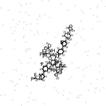 COC(=O)N[C@H](C(=O)N[C@@H](Cc1ccc(-c2ccc(N3CCN(C4COC4)CC3)nc2)cc1)[C@@H](O)CN(Cc1c(F)cc(-c2ccn(CC(F)F)n2)cc1F)NC(=O)[C@@H](NC(=O)OC)C(C)(C)C(F)(F)F)C(C)(C)C(F)(F)F